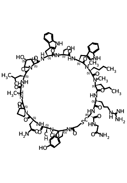 CCCC[C@H]1C(=O)N(C)[C@@H](CCCC)C(=O)N[C@@H](CCCNC(=N)N)C(=O)N[C@H](C(=O)NCC(N)=O)CSCC(=O)N[C@@H](Cc2ccc(O)cc2)C(=O)N(C)[C@@H](C)C(=O)N[C@@H](CC(N)=O)C(=O)N2CCC[C@H]2C(=O)N[C@@H](C)C(=O)N[C@@H](CC(C)C)C(=O)N2C[C@@H](O)C[C@H]2C(=O)N[C@@H](Cc2c[nH]c3ccccc23)C(=O)N[C@@H](CO)C(=O)N[C@@H](Cc2c[nH]c3ccccc23)C(=O)N1C